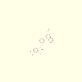 CC1(c2cc(-c3cccc(CC(F)(C(=O)C4CC4)c4ccc(S(C)(=O)=O)cc4)c3)c3ncccc3c2)C(O)=S1(C)=O